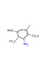 COc1cc(C)c(C(=O)O)c(N)c1C(=O)O